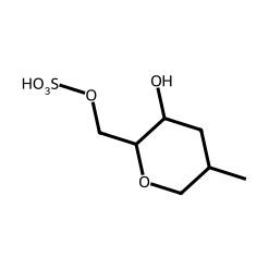 CC1COC(COS(=O)(=O)O)C(O)C1